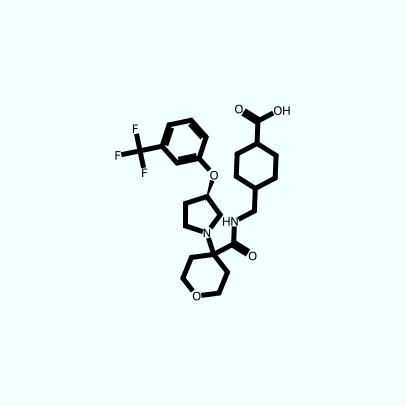 O=C(O)C1CCC(CNC(=O)C2(N3CC[C@@H](Oc4cccc(C(F)(F)F)c4)C3)CCOCC2)CC1